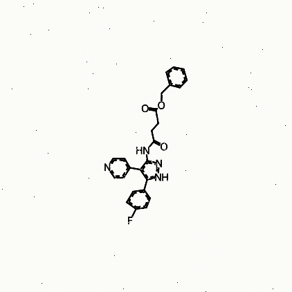 O=C(CCC(=O)OCc1ccccc1)Nc1n[nH]c(-c2ccc(F)cc2)c1-c1ccncc1